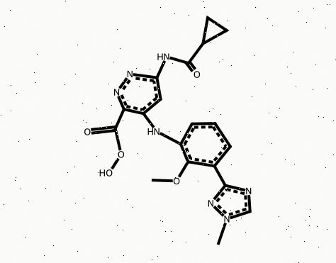 COc1c(Nc2cc(NC(=O)C3CC3)nnc2C(=O)OO)cccc1-c1ncn(C)n1